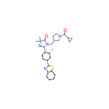 CC1(C)N=C(c2ccc(-c3nc4ccccc4s3)cc2F)N(CC2CCN(C(=O)C3CC3)C2)C1=O